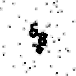 N#CC1(c2ccc3cnn(-c4cc(CO)ncn4)c3c2)CCC1